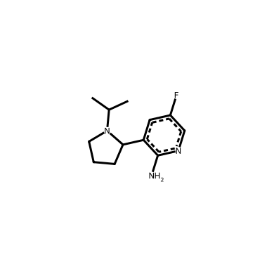 CC(C)N1CCCC1c1cc(F)cnc1N